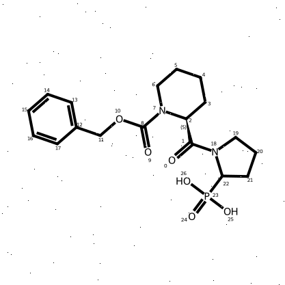 O=C([C@@H]1CCCCN1C(=O)OCc1ccccc1)N1CCCC1P(=O)(O)O